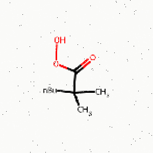 CCCCC(C)(C)C(=O)OO